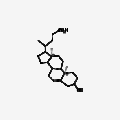 CC(CCC(=O)O)C1CCC2C3CC=C4CC(O)CC[C@]4(C)C3CC[C@]12C